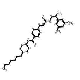 C=CCCCCCC1CCC(OC(=O)c2ccc(/C=C/C(=O)OCC(C)c3cc(N)cc(N)c3)cc2)CC1